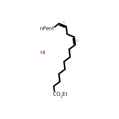 CCCCC/C=C\C/C=C\CCCCCCCC(=O)OCC.I